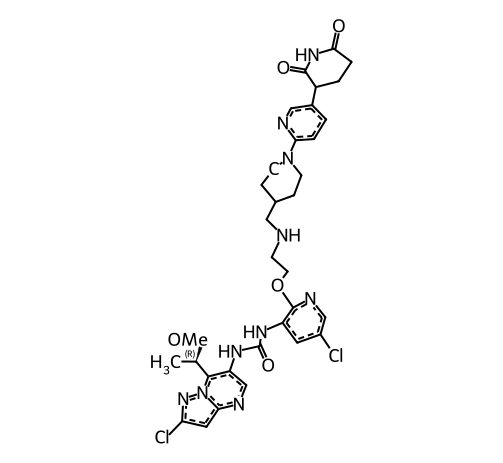 CO[C@H](C)c1c(NC(=O)Nc2cc(Cl)cnc2OCCNCC2CCN(c3ccc(C4CCC(=O)NC4=O)cn3)CC2)cnc2cc(Cl)nn12